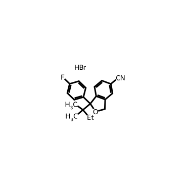 Br.CCC(C)(C)C1(c2ccc(F)cc2)OCc2cc(C#N)ccc21